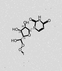 O=c1ccn([C@@H]2O[C@H](C(O)OOI)[C@@H](O)[C@H]2O)c(=O)[nH]1